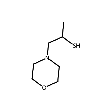 CC(S)CN1CCOCC1